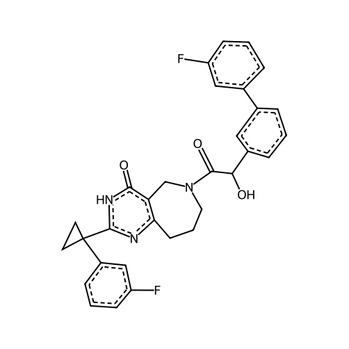 O=C(C(O)c1cccc(-c2cccc(F)c2)c1)N1CCCc2nc(C3(c4cccc(F)c4)CC3)[nH]c(=O)c2C1